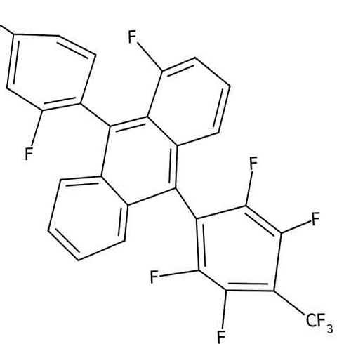 Fc1ccc(-c2c3ccccc3c(-c3c(F)c(F)c(C(F)(F)F)c(F)c3F)c3cccc(F)c23)c(F)c1